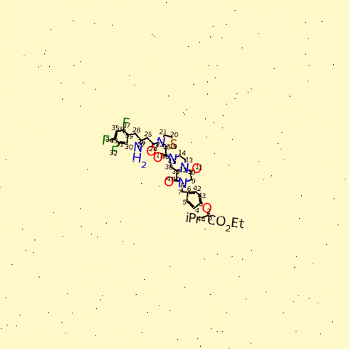 CCOC(=O)[C@H](Oc1ccc(CN2CC(=O)N3CCN(C(=O)C4SCCN4C(=O)C[C@H](N)Cc4cc(F)c(F)cc4F)CC3C2=O)cc1)C(C)C